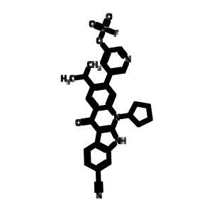 CC(C)c1cc2c(=O)c3c4ccc(C#N)cc4[nH]c3n(C3CCCC3)c2cc1-c1cncc(OS(=O)(=O)F)c1